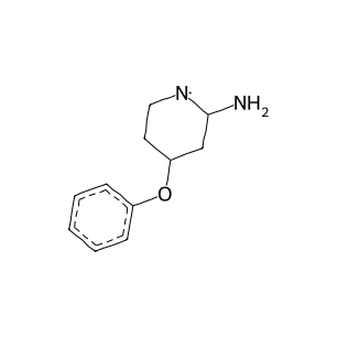 NC1CC(Oc2ccccc2)CC[N]1